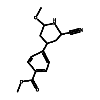 COC(=O)c1ccc(C2CC(C#N)NC(OC)C2)cc1